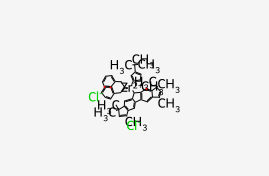 CC1=CC(C)(C)c2cc3c(cc21)-c1cc2c(cc1[CH]3[Zr+2]([C]1=CC(C(C)(C)C)=CC1C)=[C](Cc1ccccc1)Cc1ccccc1)C(C)(C)C=C2C.[Cl-].[Cl-]